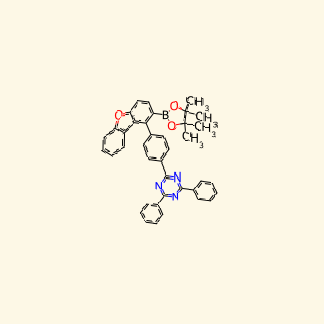 CC1(C)OB(c2ccc3oc4ccccc4c3c2-c2ccc(-c3nc(-c4ccccc4)nc(-c4ccccc4)n3)cc2)OC1(C)C